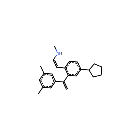 C=C(c1cc(C)cc(C)c1)c1cc(C2CCCC2)ccc1/C=C\NC